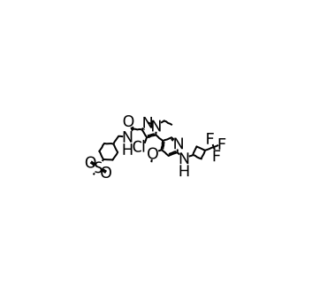 CCn1nc(C(=O)NCC2CCC(S(C)(=O)=O)CC2)c(Cl)c1-c1cnc(NC2CC(C(F)(F)F)C2)cc1OC